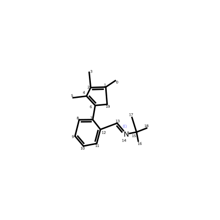 CC1=C(C)C(C)=C(c2ccccc2/C=N/C(C)(C)C)C1